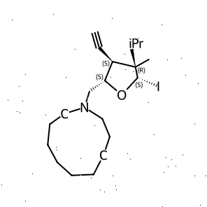 C#C[C@@H]1[C@@H](CN2CCCCCCCCC2)O[C@@H](I)[C@]1(C)C(C)C